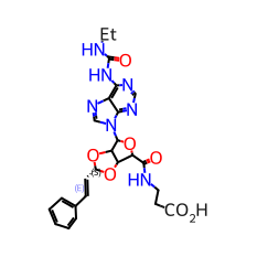 CCNC(=O)Nc1ncnc2c1ncn2C1OC(C(=O)NCCC(=O)O)C2O[C@H](/C=C/c3ccccc3)OC21